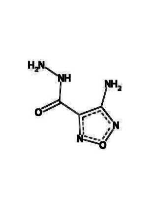 NNC(=O)c1nonc1N